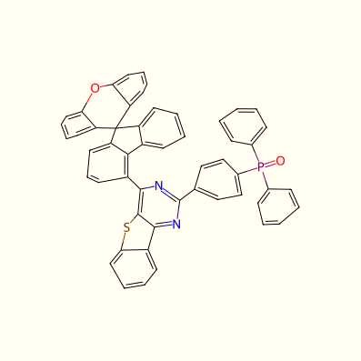 O=P(c1ccccc1)(c1ccccc1)c1ccc(-c2nc(-c3cccc4c3-c3ccccc3C43c4ccccc4Oc4ccccc43)c3sc4ccccc4c3n2)cc1